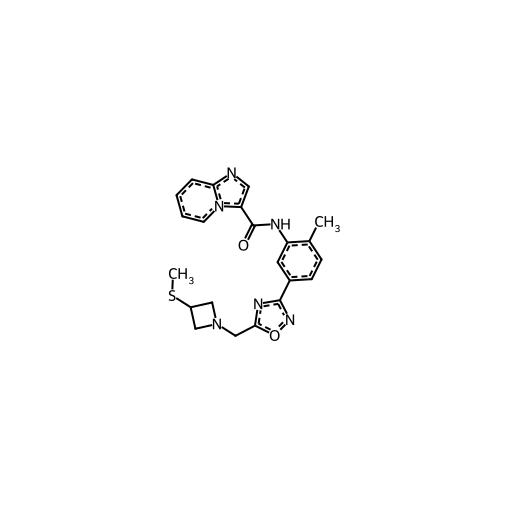 CSC1CN(Cc2nc(-c3ccc(C)c(NC(=O)c4cnc5ccccn45)c3)no2)C1